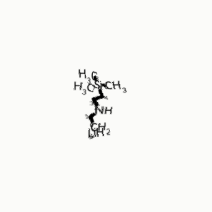 [CH2]CNCC[Si](C)(C)C.[LiH]